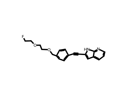 FCCOCCOCc1ccc(C#Cc2cc3cccnc3[nH]2)cc1